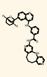 O=C(Nc1cc2c(cn1)CCCc1cnccc1N2)c1cccc(Nc2ccnc3ccc(C4=C[C@@H]5CC[C@H]4CO5)cc23)c1